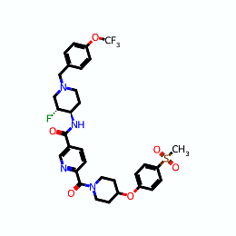 CS(=O)(=O)c1ccc(OC2CCN(C(=O)c3ccc(C(=O)N[C@@H]4CCN(Cc5ccc(OC(F)(F)F)cc5)C[C@H]4F)cn3)CC2)cc1